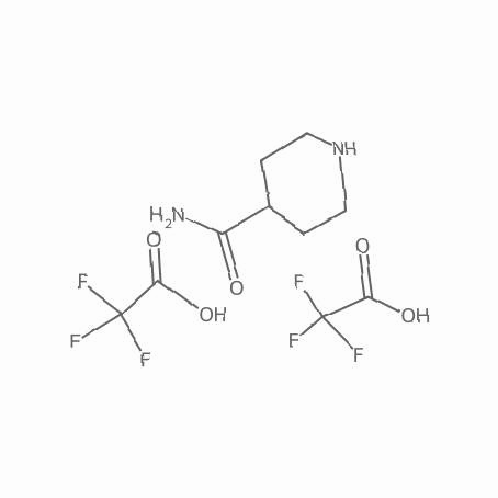 NC(=O)C1CCNCC1.O=C(O)C(F)(F)F.O=C(O)C(F)(F)F